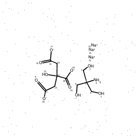 NC(CO)(CO)CO.O=C([O-])CC(O)(CC(=O)[O-])C(=O)[O-].[Na+].[Na+].[Na+]